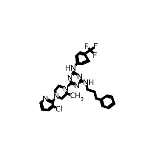 CC1CN(c2ncccc2Cl)CCN1c1nc(NCCCc2ccccc2)nc(Nc2ccc(C(F)(F)F)cc2)n1